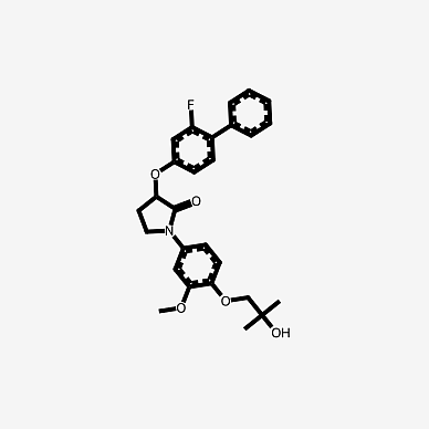 COc1cc(N2CCC(Oc3ccc(-c4ccccc4)c(F)c3)C2=O)ccc1OCC(C)(C)O